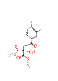 CCOC(=O)C(O)(CC(=O)c1ccc(F)c(C)c1)C(=O)OCC